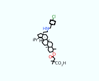 CC(C)C1=C2[C@H]3CCC4[C@@]5(C)CC[C@H](OC(=O)CC(C)(C)C(=O)O)C(C)C5CC[C@@]4(C)[C@]3(C)CC[C@@]2(CCNCc2ccc(Cl)cc2)CC1